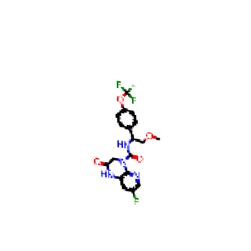 COCC(NC(=O)N1CC(=O)Nc2cc(F)cnc21)c1ccc(OC(F)(F)F)cc1